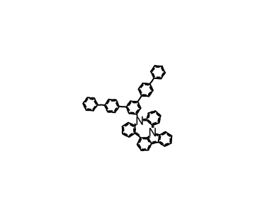 c1ccc(-c2ccc(-c3cc(-c4ccc(-c5ccccc5)cc4)cc(-n4c5ccccc5c5cccc6c7ccccc7n(c7ccccc74)c56)c3)cc2)cc1